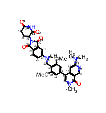 COc1cc(-c2cn(C)c(=O)c3cnc(N(C)C)cc23)cc(OC)c1CN(C)c1ccc2c(c1)C(=O)N(C1CCC(=O)NC1=O)C2=O